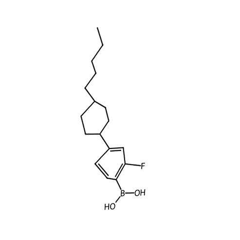 CCCCCC1CCC(c2ccc(B(O)O)c(F)c2)CC1